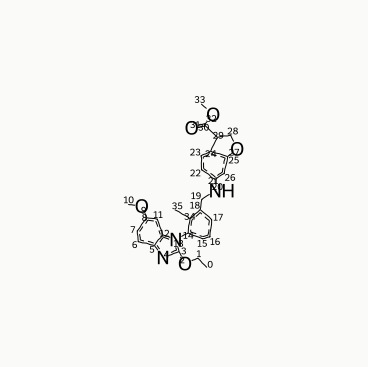 CCOc1nc2ccc(OC)cc2n1-c1cccc(CNc2ccc3c(c2)OCC3C(=O)OC)c1C